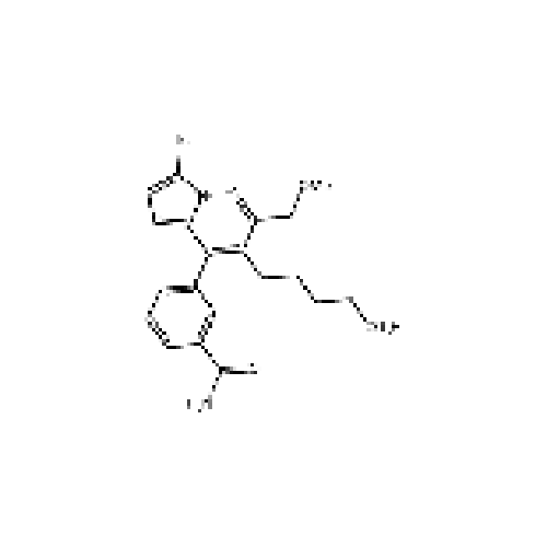 CCc1ccc2c(-c3cccc(C(N)=O)c3)c(CCCCC(=O)O)c(COC)nn12